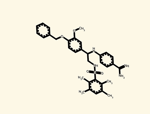 COc1cc(C(CNS(=O)(=O)c2c(C)c(C)cc(C)c2C)Nc2ccc(C(=N)N)cc2)ccc1OCc1ccccc1